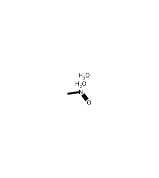 CN=O.O.O